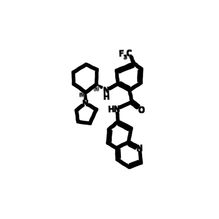 O=C(Nc1ccc2cccnc2c1)c1ccc(C(F)(F)F)cc1N[C@H]1CCCC[C@@H]1N1CCCC1